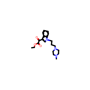 CCOC(=O)C(=O)c1cn(CCCN2CCN(C)CC2)c2ccccc12